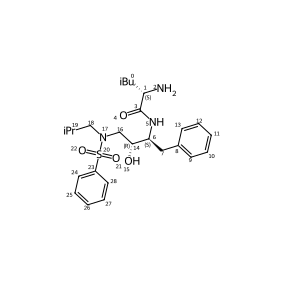 CCC(C)[C@H](N)C(=O)N[C@@H](Cc1ccccc1)[C@H](O)CN(CC(C)C)S(=O)(=O)c1ccccc1